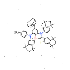 CC(C)(C)c1ccc(N2c3cc4c(cc3B3c5sc6cc7c(cc6c5N(c5ccc6c(c5)C(C)(C)CCC6(C)C)c5cc(C68CC9CC(CC(C9)C6)C8)cc2c53)C(C)(C)CCC7(C)C)C(C)(C)CCC4(C)C)cc1